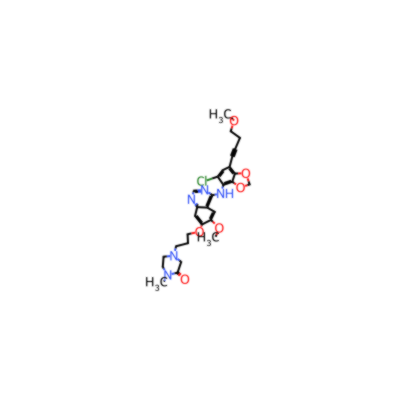 COCCC#Cc1cc(Cl)c(Nc2ncnc3cc(OCCCN4CCN(C)C(=O)C4)c(OC)cc23)c2c1OCO2